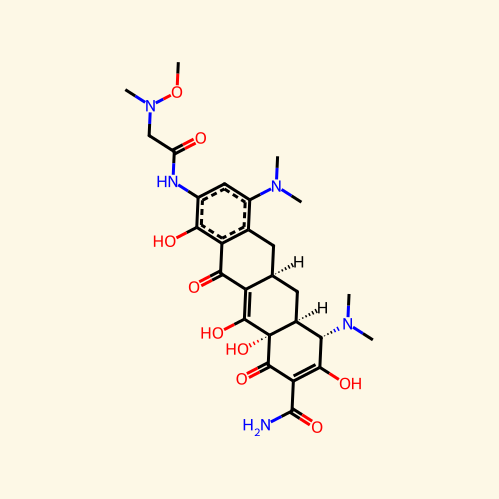 CON(C)CC(=O)Nc1cc(N(C)C)c2c(c1O)C(=O)C1=C(O)[C@]3(O)C(=O)C(C(N)=O)=C(O)[C@@H](N(C)C)[C@@H]3C[C@@H]1C2